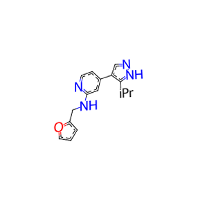 CC(C)c1[nH]ncc1-c1ccnc(NCc2ccco2)c1